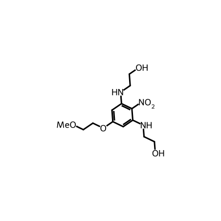 COCCOc1cc(NCCO)c([N+](=O)[O-])c(NCCO)c1